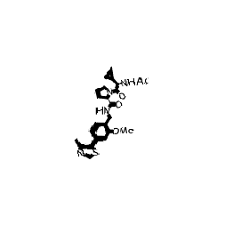 COc1cc(-c2scnc2C)ccc1CNC(=O)[C@@H]1CCCN1C(=O)[C@@H](NC(C)=O)C1CC1